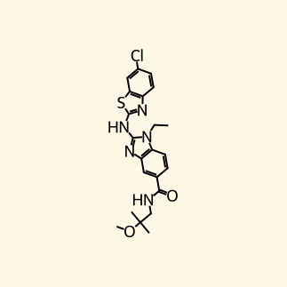 CCn1c(Nc2nc3ccc(Cl)cc3s2)nc2cc(C(=O)NCC(C)(C)OC)ccc21